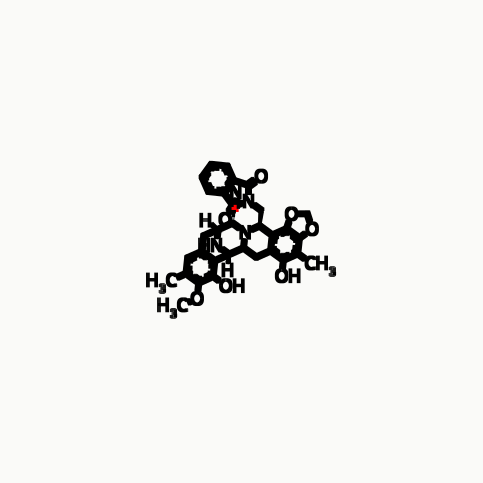 COc1c(C)cc2c(c1O)[C@@H]1N[C@H](C2)[C@H](C#N)N2C1Cc1c(O)c(C)c3c(c1[C@@H]2CN1C(=O)c2ccccc2C1=O)OCO3